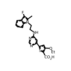 CCOc1cc(-c2cc(NCCn3c(C)c(F)c4ccccc43)ncn2)sc1C(=O)O